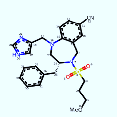 COCCCS(=O)(=O)N1Cc2cc(C#N)ccc2N(Cc2c[nH]cn2)C[C@H]1Cc1ccccc1